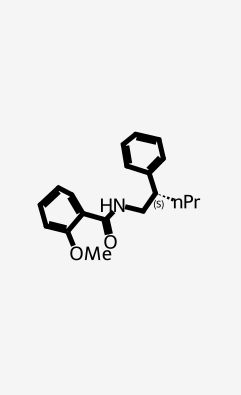 CCC[C@H](CNC(=O)c1ccccc1OC)c1ccccc1